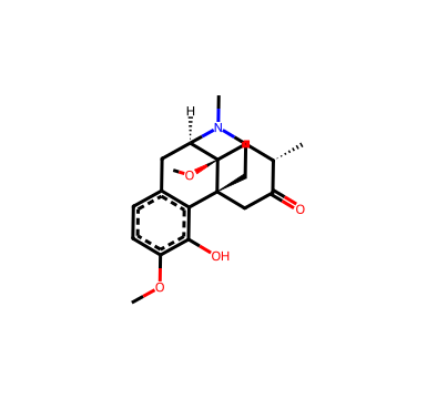 COc1ccc2c(c1O)[C@]13CCN(C)[C@H](C2)[C@]1(OC)C[C@H](C)C(=O)C3